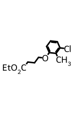 CCOC(=O)CCCOc1cccc(Cl)c1C